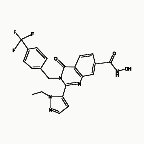 CCn1nccc1-c1nc2cc(C(=O)NO)ccc2c(=O)n1Cc1ccc(C(F)(F)F)cc1